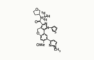 [2H]C([2H])([2H])N(C(=O)c1nn(-c2ccsc2)c2c1COc1cc(OC)c(-c3ccn(C)n3)cc1-2)C1CCOC1